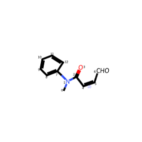 CN(C(=O)/C=C\C=O)c1ccccc1